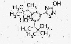 CC(c1cc(-c2nc(O)ns2)cc(C(C)C(C)(C)C)c1O)C(C)(C)C